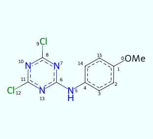 COc1ccc(Nc2nc(Cl)nc(Cl)n2)cc1